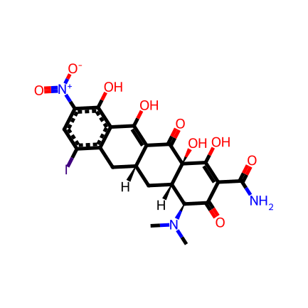 CN(C)[C@@H]1C(=O)C(C(N)=O)=C(O)[C@@]2(O)C(=O)C3=C(O)c4c(O)c([N+](=O)[O-])cc(I)c4C[C@H]3C[C@@H]12